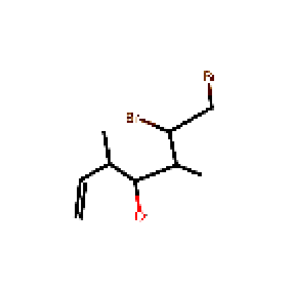 C=CC(C)C([O])C(C)C(Br)CBr